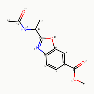 COC(=O)c1ccc2nc(C(C)NC(C)=O)oc2c1